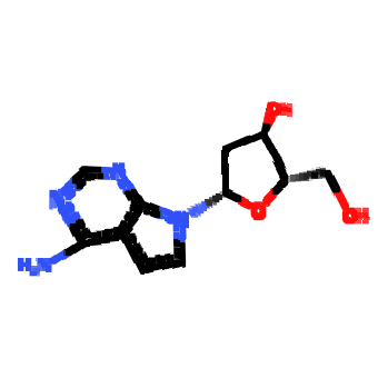 Nc1ncnc2c1ccn2[C@@H]1C[C@@H](O)[C@H](CO)O1